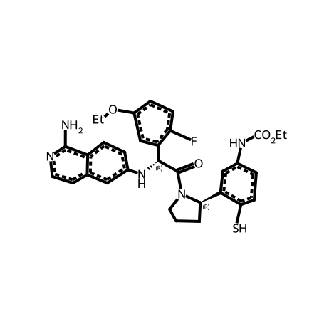 CCOC(=O)Nc1ccc(S)c([C@H]2CCCN2C(=O)[C@H](Nc2ccc3c(N)nccc3c2)c2cc(OCC)ccc2F)c1